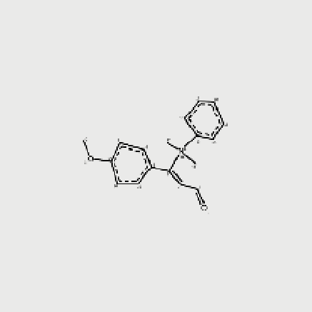 COc1ccc(C(=CC=O)[N+](C)(C)c2ccccc2)cc1